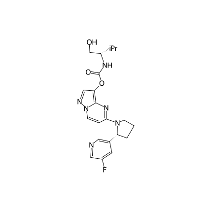 CC(C)[C@@H](CO)NC(=O)Oc1cnn2ccc(N3CCC[C@@H]3c3cncc(F)c3)nc12